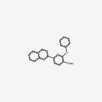 COc1ccc(-c2ncc3ccccc3n2)nc1Oc1ccccc1